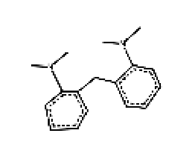 CN(C)c1ccccc1[C]c1ccccc1N(C)C